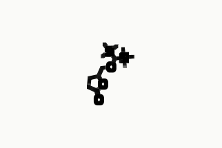 C[Si](C)(C)C(OCC1CCC(=O)O1)[Si](C)(C)C